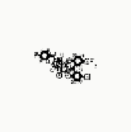 C[C@@H]1CN(Cc2ccc(F)cc2)[C@@H](C)CN1C(=O)COc1ccc(Cl)cc1C(NC=O)c1cc(C(F)(F)F)ccc1C(F)(F)F